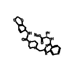 COC(=O)[C@@H](Nc1nc(CN2CCN(C(=O)Nc3ccc4c(c3)OCO4)CC2)nc2ccccc12)C(C)C